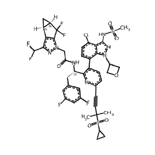 CC(C)(C#Cc1ccc(-c2ccc(Cl)c3c(NS(C)(=O)=O)nn(C4COC4)c23)c([C@H](Cc2cc(F)cc(F)c2)NC(=O)Cn2nc(C(F)F)c3c2C(F)(F)[C@@H]2C[C@H]32)n1)S(=O)(=O)C1CC1